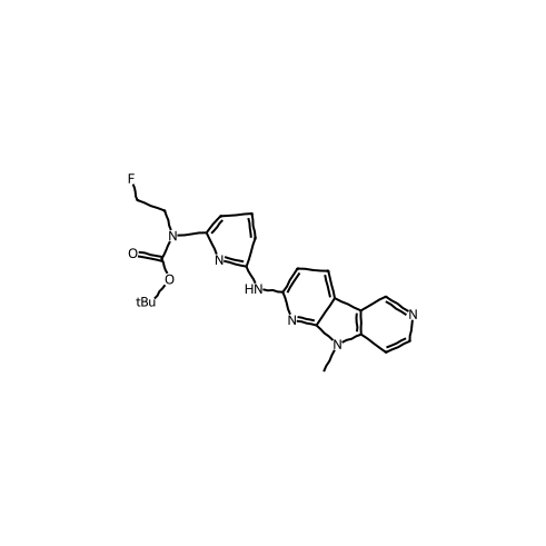 Cn1c2ccncc2c2ccc(Nc3cccc(N(CCF)C(=O)OC(C)(C)C)n3)nc21